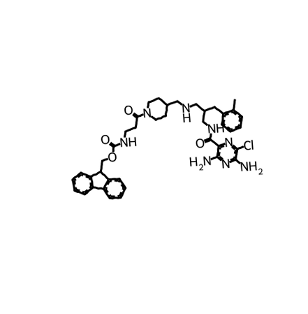 Cc1ccccc1CC(CNCC1CCN(C(=O)CCNC(=O)OCC2c3ccccc3-c3ccccc32)CC1)CNC(=O)c1nc(Cl)c(N)nc1N